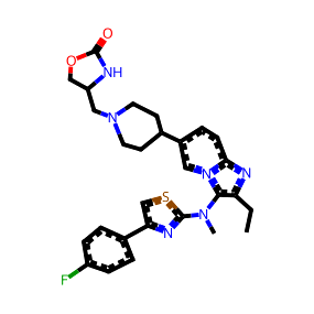 CCc1nc2ccc(C3CCN(CC4COC(=O)N4)CC3)cn2c1N(C)c1nc(-c2ccc(F)cc2)cs1